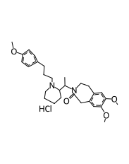 COc1ccc(CCCN2CCCCC2C(C)N2CCc3cc(OC)c(OC)cc3CC2=O)cc1.Cl